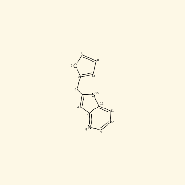 c1coc(Cc2cc3ncccc3s2)c1